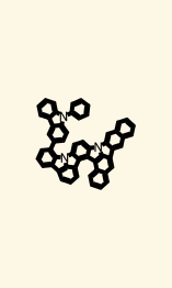 c1ccc(-n2c3ccccc3c3cc(-c4cccc5c6cccc7c8c9c%10c%11ccccc%11cc%11c%12cc%13ccccc%13cc%12n(c9ccc8n(c45)c67)c%11%10)ccc32)cc1